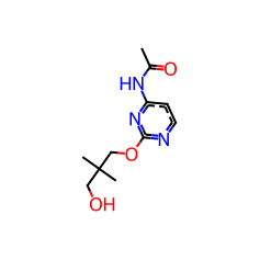 CC(=O)Nc1ccnc(OCC(C)(C)CO)n1